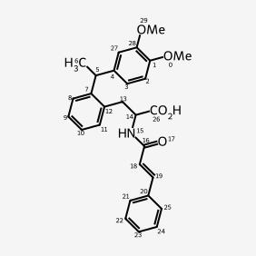 COc1ccc(C(C)c2ccccc2CC(NC(=O)C=Cc2ccccc2)C(=O)O)cc1OC